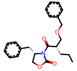 CCC[C@@H](COCc1ccccc1)C(=O)N1C(=O)OC[C@@H]1Cc1ccccc1